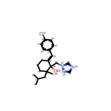 CC(C)CC1(C)CCCC(=Cc2ccc(Cl)cc2)C1(O)Cn1cncn1